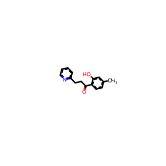 Cc1ccc(C(=O)CCc2ccccn2)c(O)c1